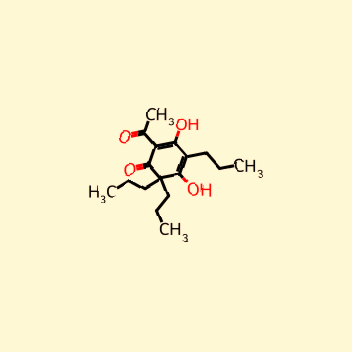 CCCC1=C(O)C(CCC)(CCC)C(=O)C(C(C)=O)=C1O